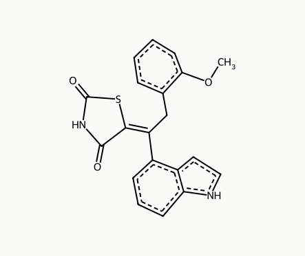 COc1ccccc1CC(=C1SC(=O)NC1=O)c1cccc2[nH]ccc12